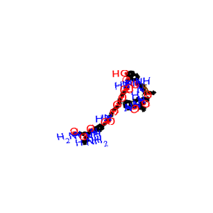 CCCO[C@H](C[C@H](C(C)C)N(CCC)C(=O)[C@@H](NC(=O)[C@H]1CCCCN1C)[C@@H](C)CC)c1nc(C(=O)N[C@H]2CCc3ccc(O)cc3[C@H](C(=O)NNC(=O)OCCOCCOCCOCCNC(=O)OCc3ccc(NC(=O)[C@H](CCCNC(N)=O)NC(=O)[C@@H](N)C(C)C)cc3)C2)cs1